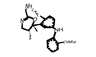 COc1ccccc1Nc1ccc(F)c([C@@]2(C)OC(N)=NC[C@H]2F)c1